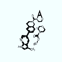 Cc1c[nH]c2ncc(-c3cc4c(c([C@@H]5COCCN5C(=O)OC(C)(C)C)c3)CN(C(=O)N3CCOC5CC53)CC4)cc12